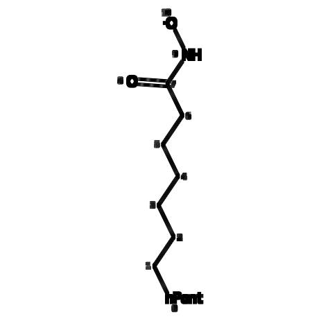 CCCCCCCCCCCC(=O)N[O]